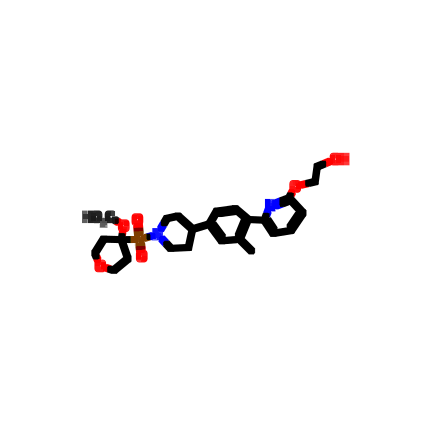 Cc1cc(C2CCN(S(=O)(=O)C3(OC(=O)O)CCOCC3)CC2)ccc1-c1cccc(OCCO)n1